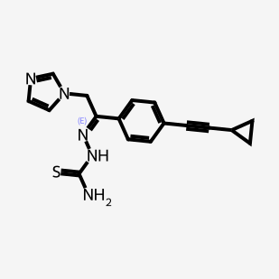 NC(=S)N/N=C(/Cn1ccnc1)c1ccc(C#CC2CC2)cc1